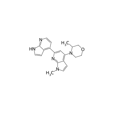 CC1COCCN1c1cc(-c2ccnc3[nH]ccc23)nc2c1ccn2C